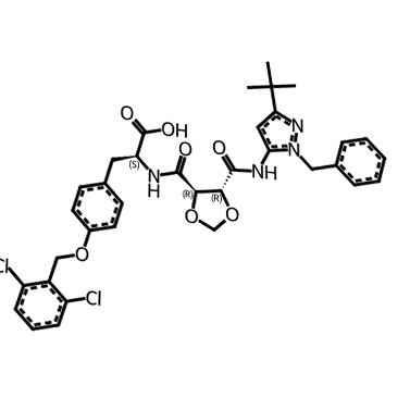 CC(C)(C)c1cc(NC(=O)[C@@H]2OCO[C@H]2C(=O)N[C@@H](Cc2ccc(OCc3c(Cl)cccc3Cl)cc2)C(=O)O)n(Cc2ccccc2)n1